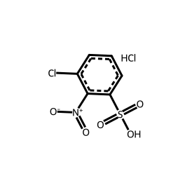 Cl.O=[N+]([O-])c1c(Cl)cccc1S(=O)(=O)O